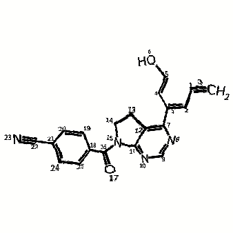 C=C/C=C(\C=C\O)c1ncnc2c1CCN2C(=O)c1ccc(C#N)cc1